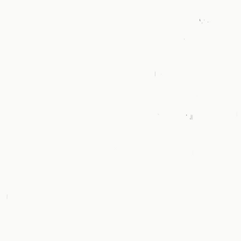 COC(=O)c1ccc(C)c(NC(=O)c2cc(-c3cccc(CCO)c3)ccc2C)c1C